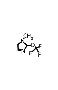 CN1C[C]=NC1OC(F)(F)F